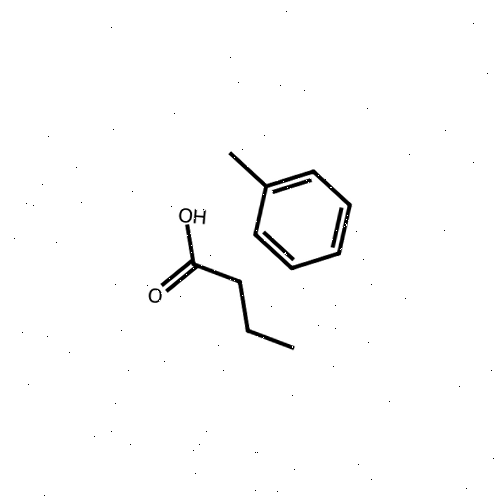 CCCC(=O)O.Cc1ccccc1